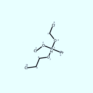 CC(C)[PH](OCl)(OCCl)OCCCl